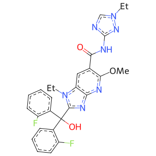 CCn1cnc(NC(=O)c2cc3c(nc2OC)nc(C(O)(c2ccccc2F)c2ccccc2F)n3CC)n1